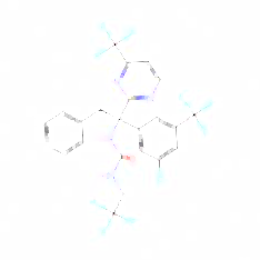 O=C(NCC(F)(F)F)N[C@@](Cc1ccccc1)(c1cc(F)cc(C(F)(F)F)c1)c1nccc(C(F)(F)F)n1